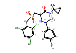 N#CC1(NC(=O)C(CS(=O)(=O)Cc2c(F)cc(F)cc2F)N[C@H](c2ccc(F)cc2)C(F)(F)F)CC1